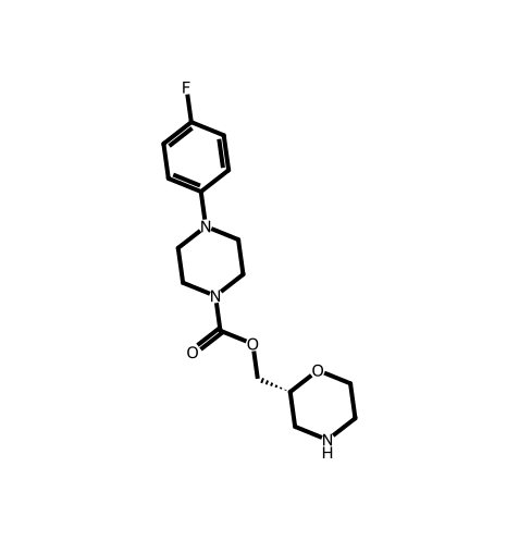 O=C(OC[C@H]1CNCCO1)N1CCN(c2ccc(F)cc2)CC1